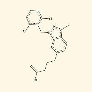 Cc1nn(Cc2c(Cl)cccc2Cl)c2cc(CCCC(=O)O)ccc12